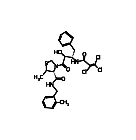 Cc1ccccc1CNC(=O)[C@@H]1C(C)SCN1C(=O)[C@@H](O)[C@H](Cc1ccccc1)NC(=O)C(Cl)=C(Cl)Cl